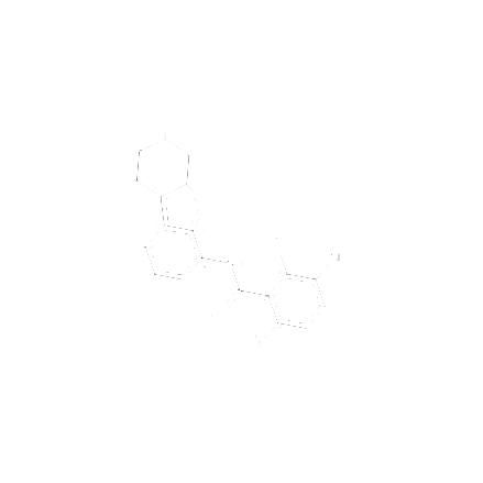 Nc1ccc(Cl)c(C(=O)Nc2cccc3c4c(oc23)CCCC4)c1Cl